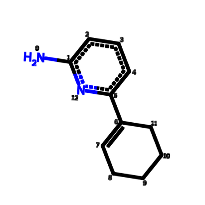 Nc1cccc(C2=CCCCC2)n1